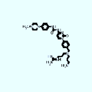 CN1CCN(c2ccc(NC(=O)Nc3ccn(-c4ccc(CN(CCCN)CCCNC(=N)N)cc4)c(=O)n3)cc2)CC1